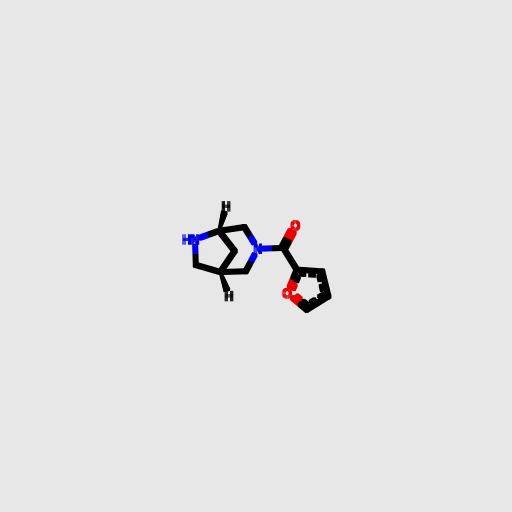 O=C(c1ccco1)N1C[C@@H]2CN[C@@H](C2)C1